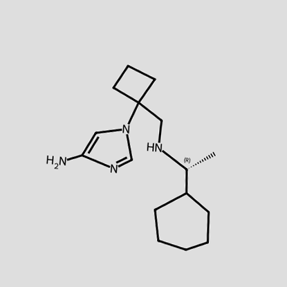 C[C@@H](NCC1(n2cnc(N)c2)CCC1)C1CCCCC1